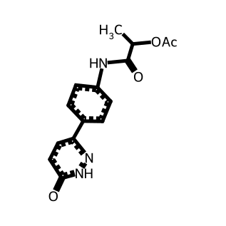 CC(=O)OC(C)C(=O)Nc1ccc(-c2ccc(=O)[nH]n2)cc1